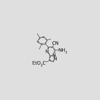 CCOC(=O)c1cnn2c(N)c(C#N)c(-c3c(C)cc(C)cc3C)nc12